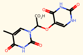 Cc1cn(C(Oc2c[nH]c(=O)[nH]c2=O)C(=O)O)c(=O)[nH]c1=O